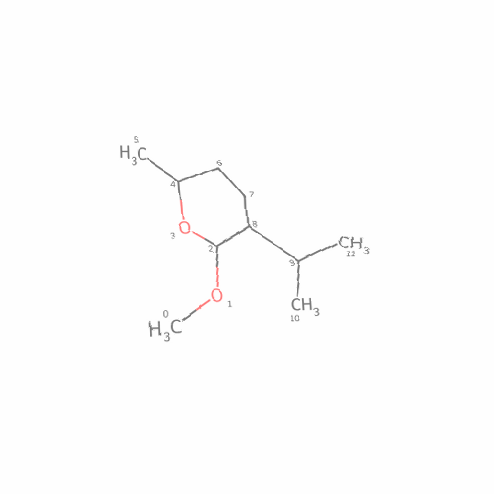 COC1OC(C)CCC1C(C)C